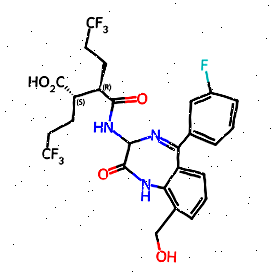 O=C1Nc2c(CO)cccc2C(c2cccc(F)c2)=NC1NC(=O)[C@H](CCC(F)(F)F)[C@H](CCC(F)(F)F)C(=O)O